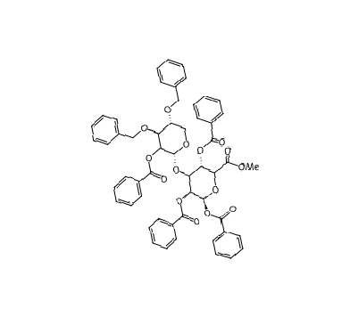 COC(=O)C1O[C@@H](OC(=O)c2ccccc2)C(OC(=O)c2ccccc2)C(O[C@H]2OC[C@@H](OCc3ccccc3)C(OCc3ccccc3)C2OC(=O)c2ccccc2)[C@@H]1OC(=O)c1ccccc1